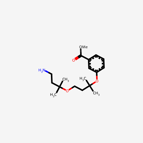 COC(=O)c1cccc(OC(C)(C)CCOC(C)(C)CCN)c1